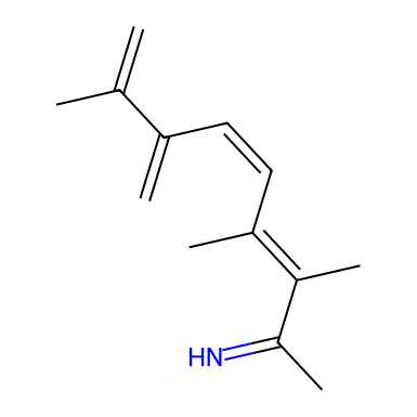 C=C(C)C(=C)/C=C\C(C)=C(/C)C(C)=N